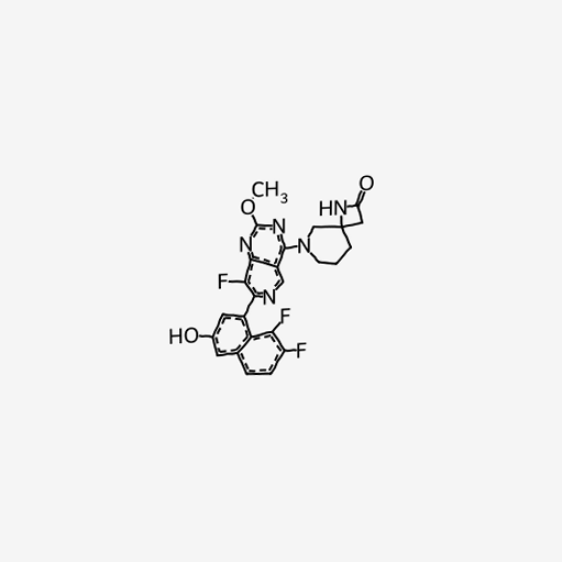 COc1nc(N2CCCC3(CC(=O)N3)C2)c2cnc(-c3cc(O)cc4ccc(F)c(F)c34)c(F)c2n1